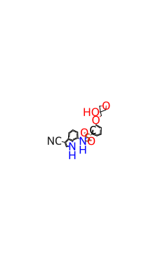 N#Cc1c[nH]c2c(NS(=O)(=O)c3cccc(OCC4(O)COC4)c3)cccc12